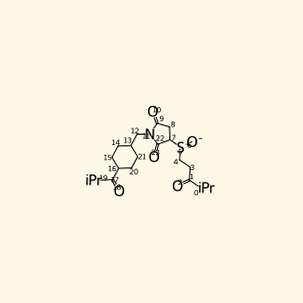 CC(C)C(=O)CC[S+]([O-])C1CC(=O)N(CC2CCC(C(=O)C(C)C)CC2)C1=O